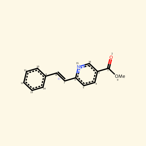 COC(=O)c1ccc(/C=C/c2ccccc2)nc1